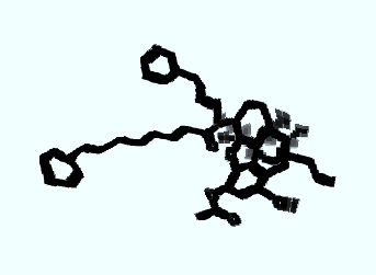 C=CCN1CC[C@]23c4c5c(O)cc(OC(C)=O)c4O[C@H]2[C@@H](N(CCCc2ccccc2)C(=O)CCCCCCCc2ccccc2)CC[C@H]3[C@H]1C5